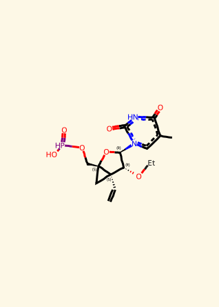 C=C[C@]12C[C@]1(CO[PH](=O)O)O[C@@H](n1cc(C)c(=O)[nH]c1=O)[C@@H]2OCC